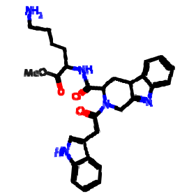 COC(=O)C(CCCCN)NC(=O)C1CC2C(=Nc3ccccc32)CN1C(=O)Cc1c[nH]c2ccccc12